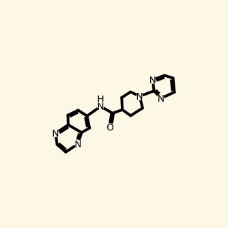 O=C(Nc1ccc2nccnc2c1)C1CCN(c2ncccn2)CC1